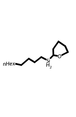 CCCCCCCCCC[SiH2]C1CCCCO1